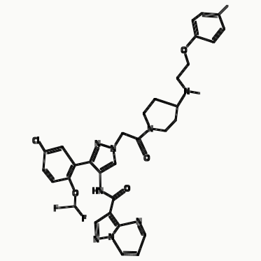 Cc1ccc(OCCN(C)C2CCN(C(=O)Cn3cc(NC(=O)c4cnn5cccnc45)c(-c4cc(Cl)ccc4OC(F)F)n3)CC2)cc1